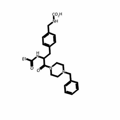 CCC(=O)NC(Cc1ccc(CNC(=O)O)cc1)C(=O)N1CCN(Cc2ccccc2)CC1